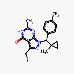 Cc1nc2c(c(CF)nn2[C@@H](c2ccc(C(F)(F)F)cc2)C2(C)CC2)c(=O)[nH]1